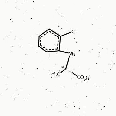 C[C@H](Nc1ccccc1Cl)C(=O)O